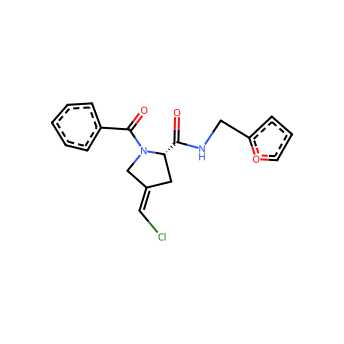 O=C(NCc1ccco1)[C@@H]1C/C(=C\Cl)CN1C(=O)c1ccccc1